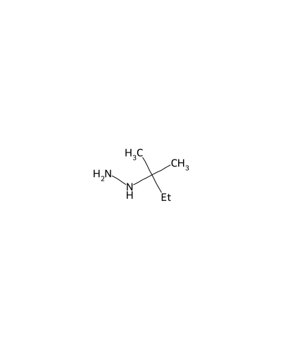 CCC(C)(C)NN